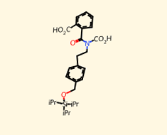 CC(C)[Si](OCc1ccc(CCN(C(=O)O)C(=O)c2ccccc2C(=O)O)cc1)(C(C)C)C(C)C